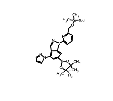 CC1(C)OB(c2cc(-n3cccn3)c3cnn(-c4cccc(CO[Si](C)(C)C(C)(C)C)n4)c3c2)OC1(C)C